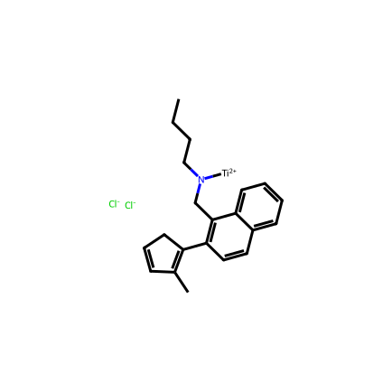 CCCC[N]([Ti+2])Cc1c(C2=C(C)C=CC2)ccc2ccccc12.[Cl-].[Cl-]